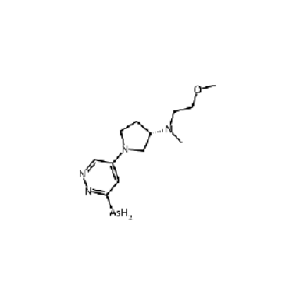 COCCN(C)[C@H]1CCN(c2cnnc([AsH2])c2)C1